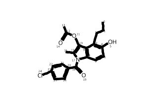 CCCc1c(O)ccc2c1c(OC(C)=O)c(C)n2C(=O)c1ccc(Cl)cc1